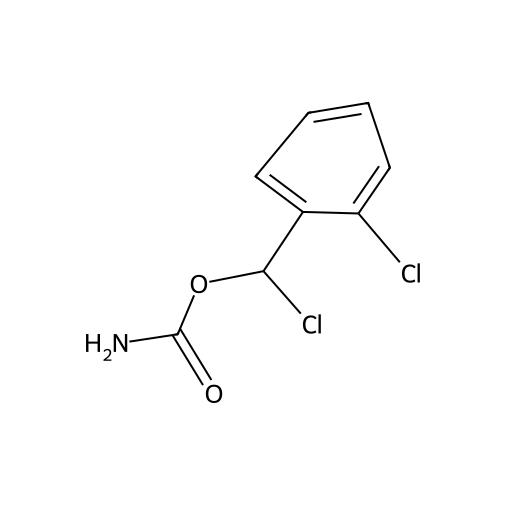 NC(=O)OC(Cl)c1ccccc1Cl